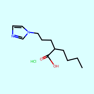 CCCCC(CCCn1ccnc1)C(=O)O.Cl